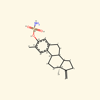 C=C1CCC2C3CCc4cc(OS(N)(=O)=O)c(C)cc4C3CC[C@]12C